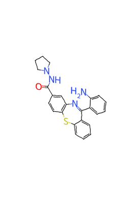 Nc1ccccc1C1=Nc2cc(C(=O)NN3CCCC3)ccc2Sc2ccccc21